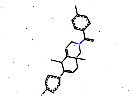 C=C(c1ccc(C)cc1)N1CC=C2C(C)C(c3ccc(C(C)C)cc3)=CCC2(C)C1